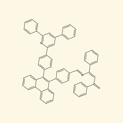 C=C(/C=C(\N=C\c1ccc(-c2c(-c3ccc(-c4cc(-c5ccccc5)cc(-c5ccccc5)n4)cc3)c3ccccc3c3ccccc23)cc1)c1ccccc1)c1ccccc1